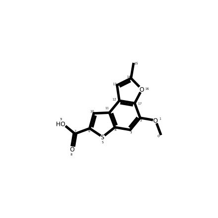 COc1cc2sc(C(=O)O)cc2c2cc(C)oc12